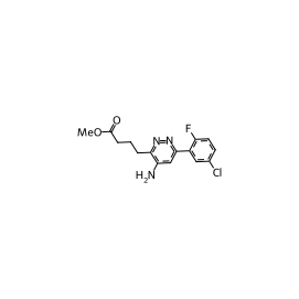 COC(=O)CCCc1nnc(-c2cc(Cl)ccc2F)cc1N